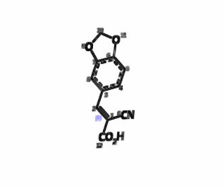 N#C/C(=C\c1ccc2c(c1)OCO2)C(=O)O